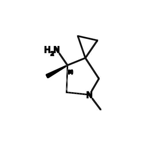 CN1CC2(CC2)[C@@](C)(N)C1